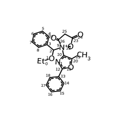 CCOC(c1ccccc1)[N+]1(c2nc(-c3ccccc3)oc2C)OC(=O)CC1=O